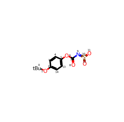 CC(C)(C)Oc1ccc(OC(=O)N=S(=O)=O)cc1